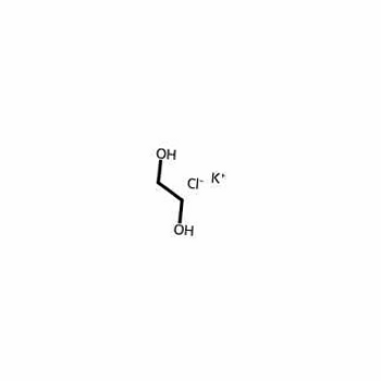 OCCO.[Cl-].[K+]